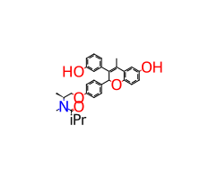 CC1=C(c2cccc(O)c2)C(c2ccc(OC[C@H](C)N(C)C(=O)C(C)C)cc2)Oc2ccc(O)cc21